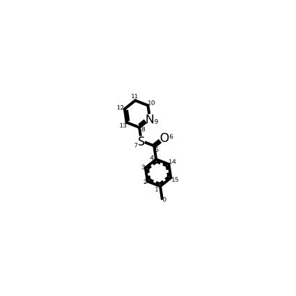 Cc1ccc(C(=O)SC2=NCCC=C2)cc1